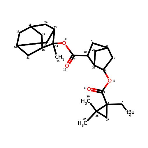 CC(C)(C)CC1(C(=O)OC2CC3CC(C(=O)OC4(C)C5CC6CC(C5)CC4C6)C2C3)CC1(C)C